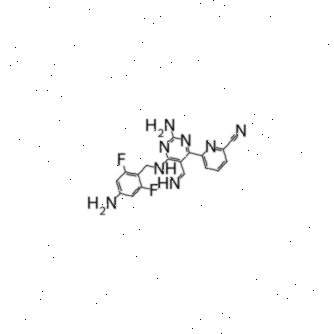 N#Cc1cccc(-c2nc(N)nc(NCc3c(F)cc(N)cc3F)c2C=N)n1